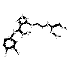 CC(C)(C)NC(=C[N+](=O)[O-])NCCSc1nonc1C(=NO)Nc1ccc(F)c(Br)c1